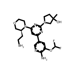 BCC[C@H]1COCCN1c1cc(-c2cnc(N)c(OC(F)F)c2)nc(N2CCC(C)(O)C2)n1